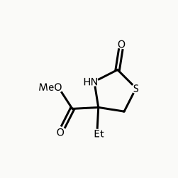 CCC1(C(=O)OC)CSC(=O)N1